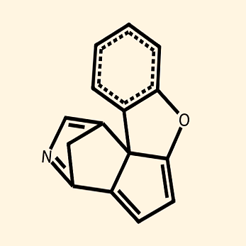 C1=C2CC(=N1)C1=CC=C3Oc4ccccc4C231